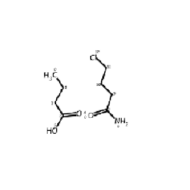 CCCC(=O)O.NC(=O)CCCCl